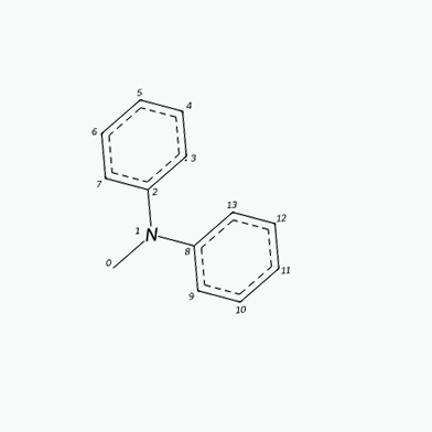 CN(c1[c]cccc1)c1ccccc1